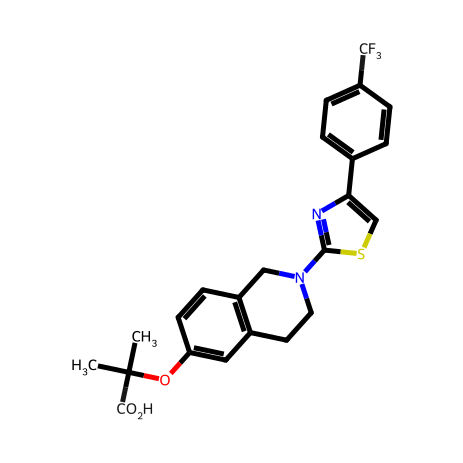 CC(C)(Oc1ccc2c(c1)CCN(c1nc(-c3ccc(C(F)(F)F)cc3)cs1)C2)C(=O)O